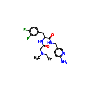 CC(C)CN(C)CC(=O)NC(Cc1ccc(F)c(F)c1)C(=O)NCc1ccc(N)nc1